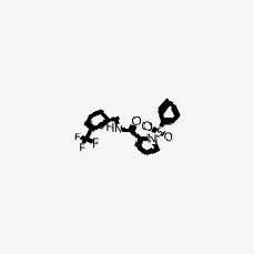 O=C(NCc1cccc(C(F)(F)F)c1)C1CCCN1S(=O)(=O)c1ccccc1